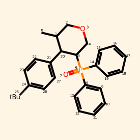 CC1COCC(P(=O)(c2ccccc2)c2ccccc2)C1c1ccc(C(C)(C)C)cc1